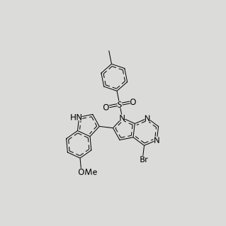 COc1ccc2[nH]cc(-c3cc4c(Br)ncnc4n3S(=O)(=O)c3ccc(C)cc3)c2c1